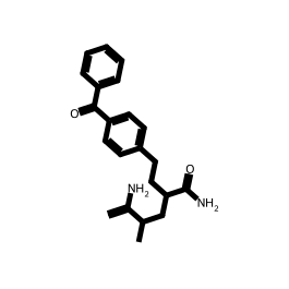 C=C(N)C(C)CC(CCc1ccc(C(=O)c2ccccc2)cc1)C(N)=O